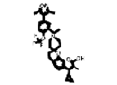 Cc1noc(C)c1-c1ccc(OC(F)(F)F)c(C(C)N2CCC3(CCc4ccc(C(C5CC5)[C@H](C)C(=O)O)cc4O3)CC2)c1